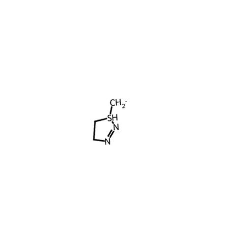 [CH2][SH]1CCN=N1